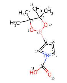 CC1(C)OB(c2ccn(C(=O)O)c2)OC1(C)C